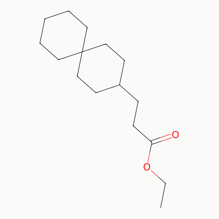 CCOC(=O)CCC1CCC2(CCCCC2)CC1